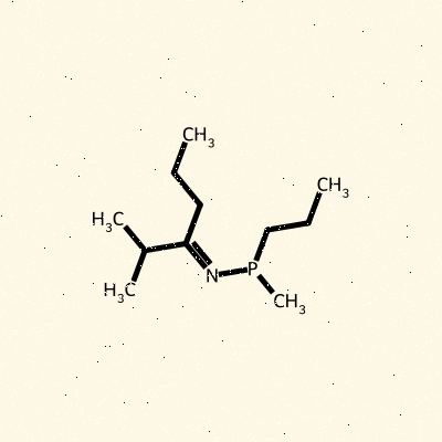 CCC/C(=N\P(C)CCC)C(C)C